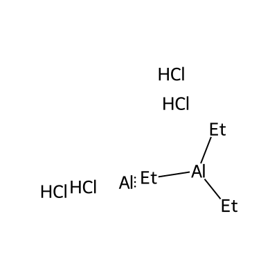 C[CH2][Al]([CH2]C)[CH2]C.Cl.Cl.Cl.Cl.[Al]